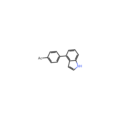 CC(=O)c1ccc(-c2cccc3[nH]ccc23)cc1